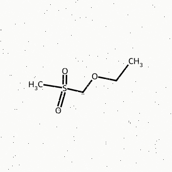 CCO[C]S(C)(=O)=O